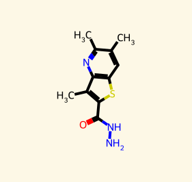 Cc1cc2sc(C(=O)NN)c(C)c2nc1C